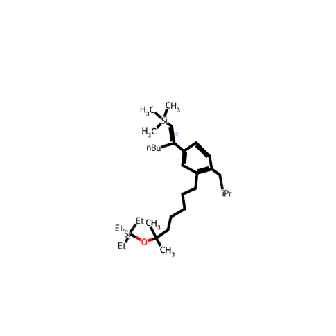 CCCC/C(=C\[Si](C)(C)C)c1ccc(CC(C)C)c(CCCCCC(C)(C)O[Si](CC)(CC)CC)c1